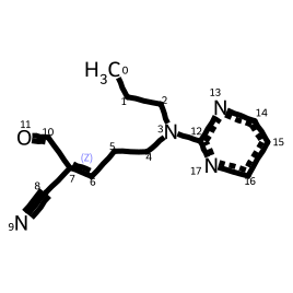 CCCN(CC/C=C(/C#N)C=O)c1ncccn1